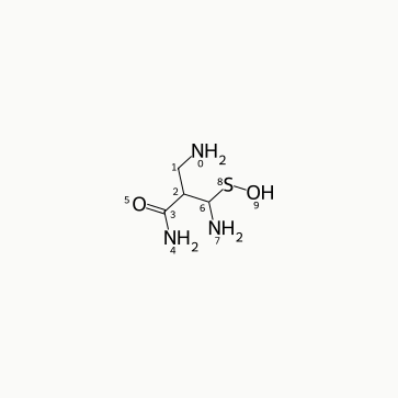 NCC(C(N)=O)C(N)SO